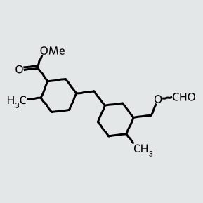 COC(=O)C1CC(CC2CCC(C)C(COC=O)C2)CCC1C